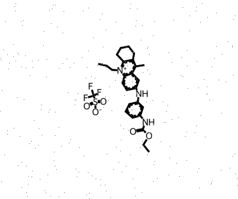 CCC[n+]1c2c(c(C)c3cc(Nc4cccc(NC(=O)OCC)c4)ccc31)CCCC2.O=S(=O)([O-])C(F)(F)F